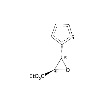 CCOC(=O)[C@@H]1O[C@H]1c1cccs1